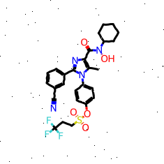 Cc1c(C(=O)N(O)C2CCCCC2)nc(-c2cccc(C#N)c2)n1-c1ccc(OS(=O)(=O)CCC(F)(F)F)cc1